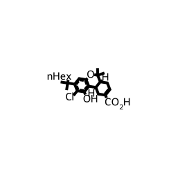 CCCCCCC(C)(C)c1cc2c(c(O)c1Cl)[C@@H]1CC(C(=O)O)=CC[C@H]1C(C)(C)O2